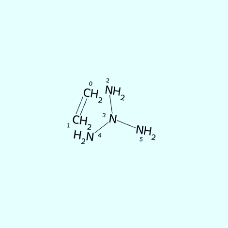 C=C.NN(N)N